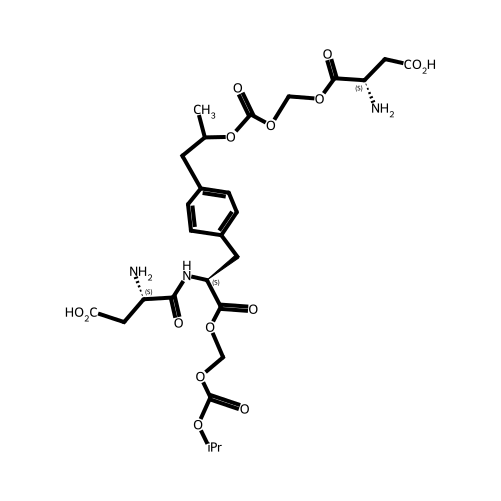 CC(C)OC(=O)OCOC(=O)[C@H](Cc1ccc(CC(C)OC(=O)OCOC(=O)[C@@H](N)CC(=O)O)cc1)NC(=O)[C@@H](N)CC(=O)O